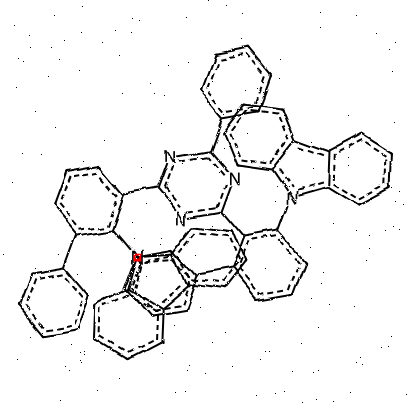 c1ccc(-c2nc(-c3cccc(-c4ccccc4)c3-n3c4ccccc4c4ccccc43)nc(-c3c(-c4ccccc4)cccc3-n3c4ccccc4c4ccccc43)n2)cc1